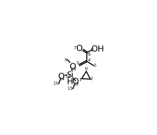 C1CC1.C=C(C)C(=O)O.CO[SiH](OC)OC